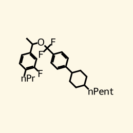 CCCCCC1CCC(c2ccc(C(F)(F)OC(C)c3ccc(CCC)c(F)c3)cc2)CC1